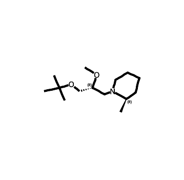 CO[C@@H](COC(C)(C)C)CN1CCCC[C@H]1C